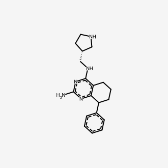 Nc1nc(NC[C@@H]2CCNC2)c2c(n1)C(c1ccccc1)CCC2